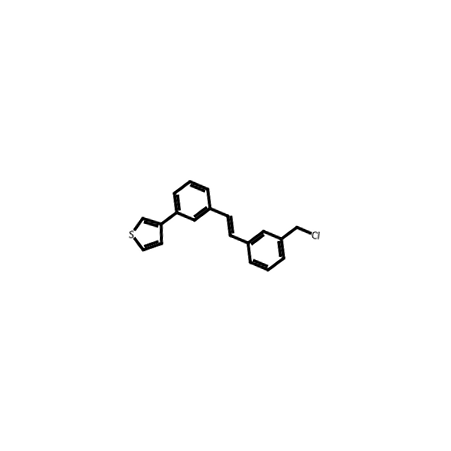 ClCc1cccc(C=Cc2cccc(-c3ccsc3)c2)c1